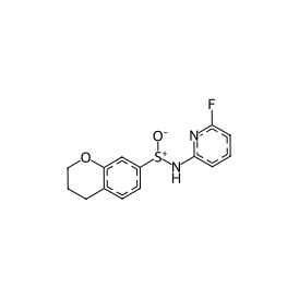 [O-][S+](Nc1cccc(F)n1)c1ccc2c(c1)OCCC2